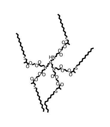 CCCCCCCCCCCCSCC(C)C(=O)OCCOC(=O)CCNCCN(CCN(CCC(=O)OCCOC(=O)C(C)CSCCCCCCCCCCCC)CCC(=O)OCCOC(=O)C(C)CSCCCCCCCCCCCC)CCN(CCC(=O)OCCOC(=O)C(C)CSCCCCCCCCCCCC)CCC(=O)OCCOC(=O)C(C)CSCCCCCCCCCCCC